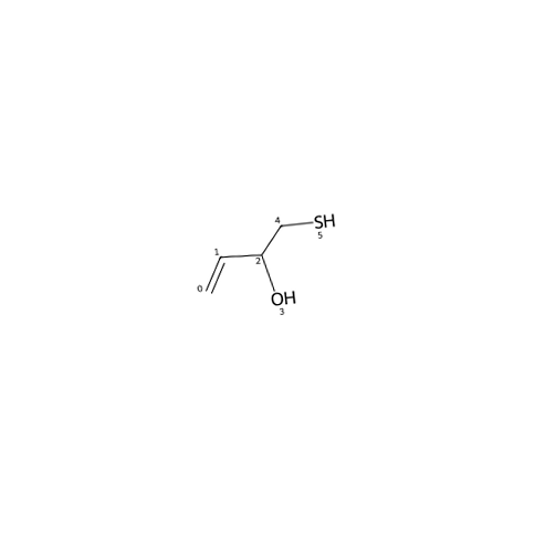 C=CC(O)CS